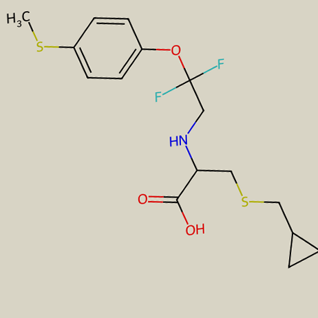 CSc1ccc(OC(F)(F)CNC(CSCC2CC2)C(=O)O)cc1